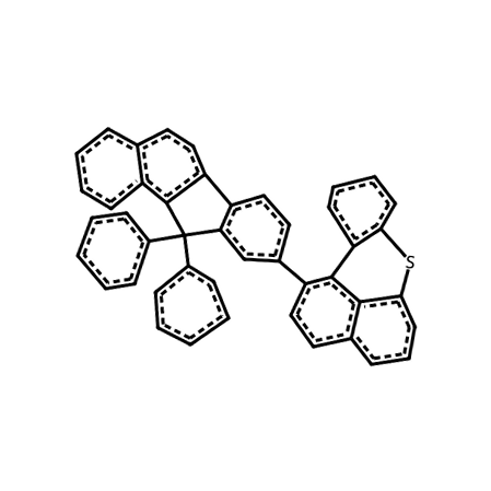 c1ccc(C2(c3ccccc3)c3cc(-c4ccc5cccc6c5c4-c4ccccc4S6)ccc3-c3ccc4ccccc4c32)cc1